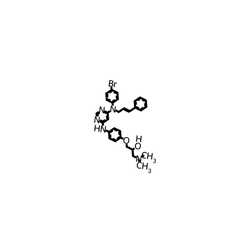 CN(C)CC(O)COc1ccc(Nc2cc(N(CC=Cc3ccccc3)c3ccc(Br)cc3)ncn2)cc1